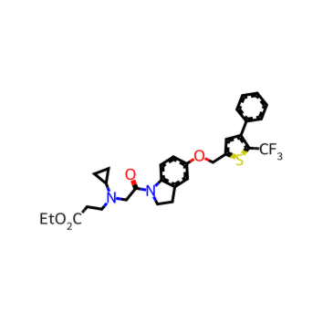 CCOC(=O)CCN(CC(=O)N1CCc2cc(OCc3cc(-c4ccccc4)c(C(F)(F)F)s3)ccc21)C1CC1